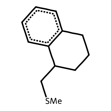 CSCC1CCCc2ccccc21